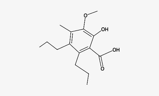 CCCc1c(C)c(OC)c(O)c(C(=O)O)c1CCC